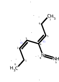 CC/C=C\C(=C/CC)N=N